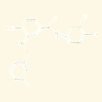 COc1ccc(C(=O)Nc2ccc(Cl)c(Cl)c2)cc1NCc1cccc(F)c1